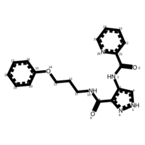 O=C(Nc1c[nH]nc1C(=O)NCCCOc1ccccc1)c1ccccn1